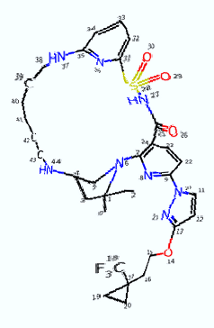 CC1(C)CC2CN1c1nc(-n3ccc(OCCC4(C(F)(F)F)CC4)n3)ccc1C(=O)NS(=O)(=O)c1cccc(n1)NCCCCCCN2